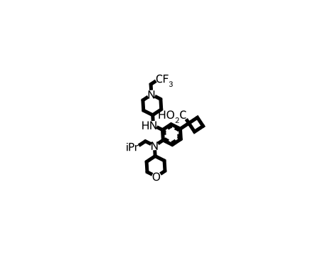 CC(C)CN(c1ccc(C2(C(=O)O)CCC2)cc1NC1CCN(CC(F)(F)F)CC1)C1CCOCC1